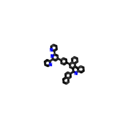 c1ccc(-c2cc(-c3ccc(-c4cc5c(-c6ccc7ccccc7c6)nc6ccccc6c5c5ccccc45)cc3)cc(-c3ccccn3)n2)nc1